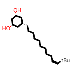 CCCC/C=C\CCCCCCCCC[C@@H]1C[C@H](O)C[C@H](O)C1